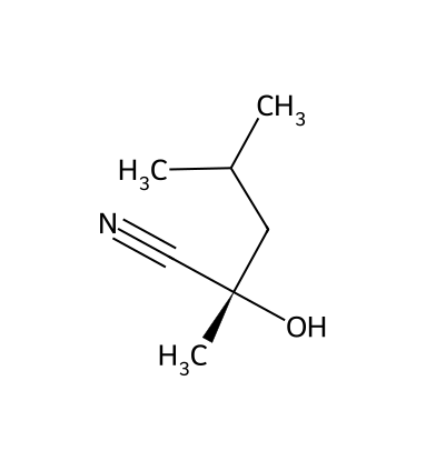 CC(C)C[C@](C)(O)C#N